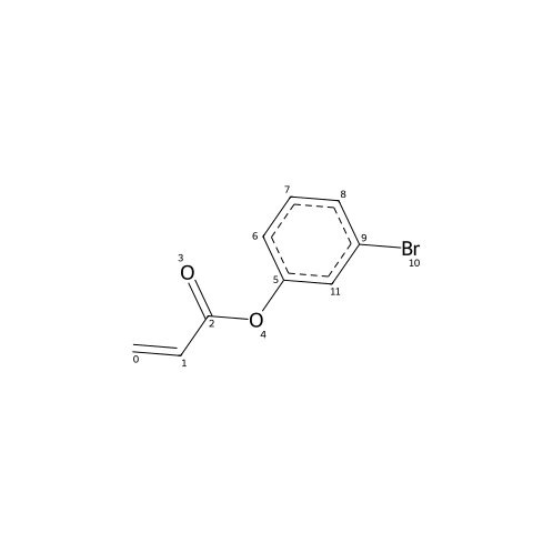 C=CC(=O)Oc1cccc(Br)c1